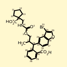 CC(COC(=O)NCC1(C(=O)O)CCCC1)C(c1ccc2occ(Br)c2c1)c1ccccc1C(=O)O